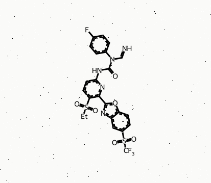 CCS(=O)(=O)c1ccc(NC(=O)N(C=N)c2ccc(F)cc2)nc1-c1nc2cc(S(=O)(=O)C(F)(F)F)ccc2o1